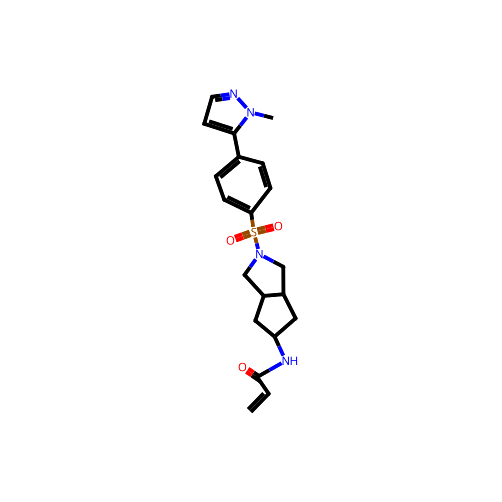 C=CC(=O)NC1CC2CN(S(=O)(=O)c3ccc(-c4ccnn4C)cc3)CC2C1